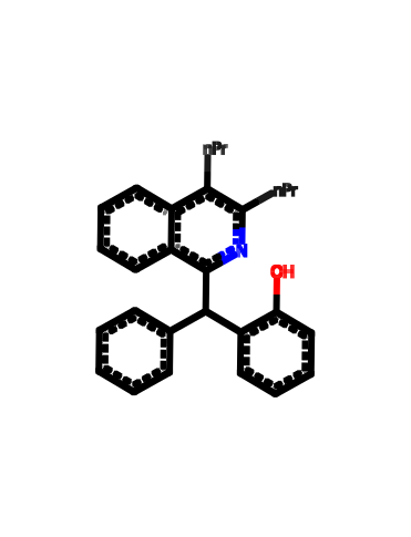 CCCc1nc(C(c2ccccc2)c2ccccc2O)c2ccccc2c1CCC